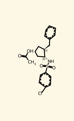 CC(=O)O.O=S(=O)(N[C@@H]1CCC[C@H]1Cc1ccccc1)c1ccc(Cl)cc1